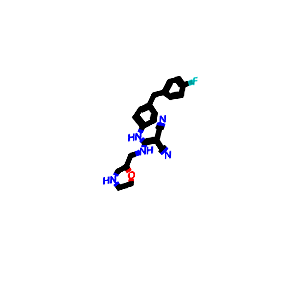 N#CC(C#N)=C(NCC1CNCCO1)Nc1ccc(Cc2ccc(F)cc2)cc1